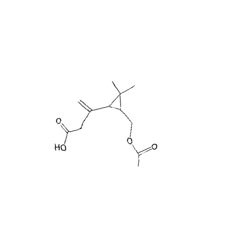 C=C(CC(=O)O)C1C(COC(C)=O)C1(C)C